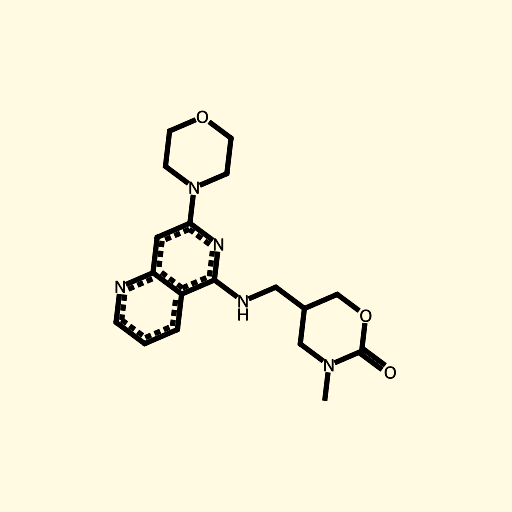 CN1CC(CNc2nc(N3CCOCC3)cc3ncccc23)COC1=O